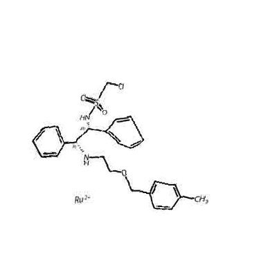 Cc1ccc(COCCN[C@H](c2ccccc2)[C@H](NS(=O)(=O)CCl)c2ccccc2)cc1.[Ru+2]